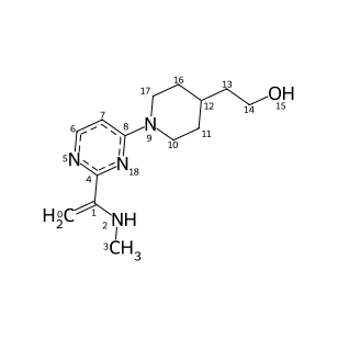 C=C(NC)c1nccc(N2CCC(CCO)CC2)n1